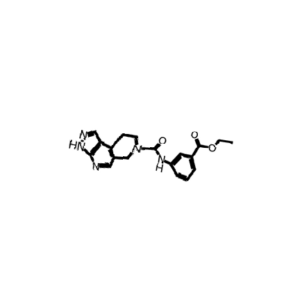 CCOC(=O)c1cccc(NC(=O)N2CCc3c(cnc4[nH]ncc34)C2)c1